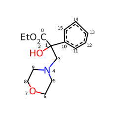 CCOC(=O)C(O)(CN1CCOCC1)c1ccccc1